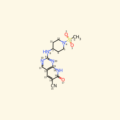 CS(=O)(=O)N1CCC(Nc2ncc3cc(C#N)c(=O)[nH]c3n2)CC1